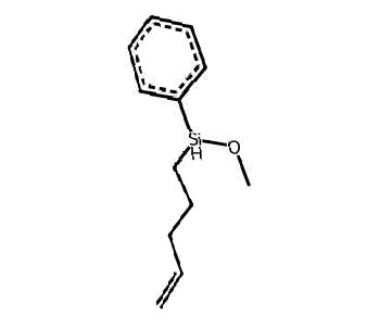 C=CCCC[SiH](OC)c1ccccc1